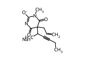 C=CCC1(C(C)C#CCC)C(=O)N=C([O-])N(C)C1=O.[Na+]